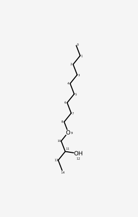 CCCCCCCCCOCC(O)CC